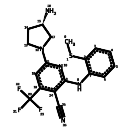 CSc1ccccc1Nc1nc(N2CC[C@H](N)C2)cc(C(F)(F)F)c1C#N